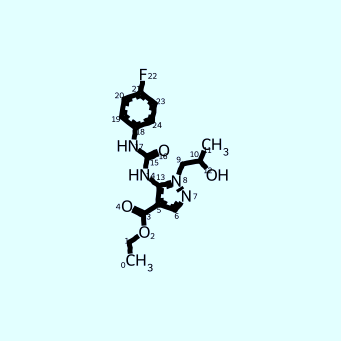 CCOC(=O)c1cnn(CC(C)O)c1NC(=O)Nc1ccc(F)cc1